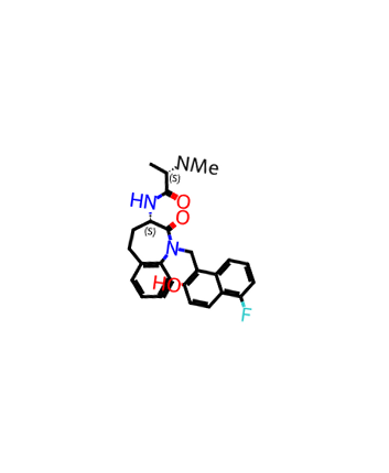 CN[C@@H](C)C(=O)N[C@H]1CCc2ccc#cc2N(Cc2c(O)ccc3c(F)cccc23)C1=O